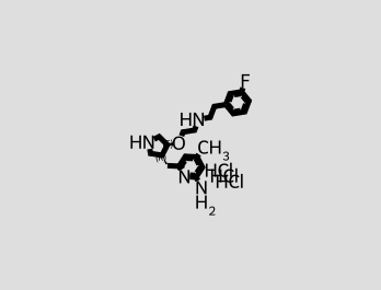 Cc1cc(N)nc(C[C@@H]2CNC[C@H]2OCCNCCc2cccc(F)c2)c1.Cl.Cl.Cl